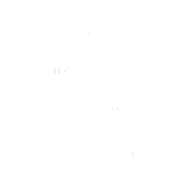 C/C(=C\C(=O)O)c1ccc(OCCCO)cc1